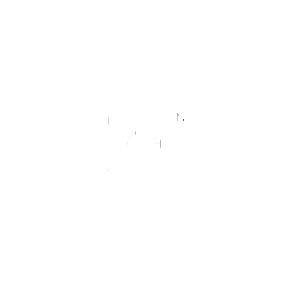 C[SiH](C)O[Si](C)(C)CCN